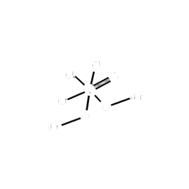 CC(C)[O][V](=[O])([Cl])([Cl])([Cl])[O]C(C)C